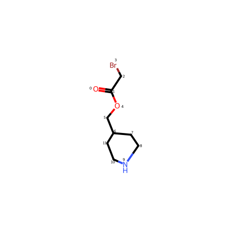 O=C(CBr)OCC1CCNCC1